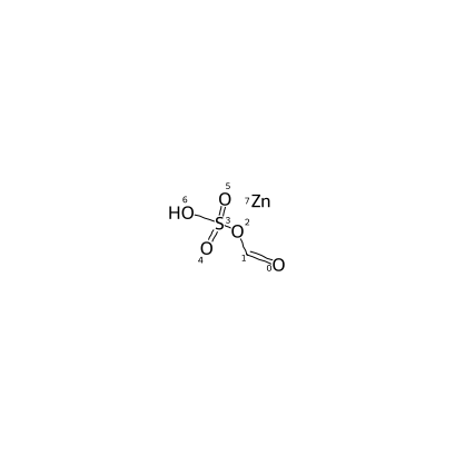 O=COS(=O)(=O)O.[Zn]